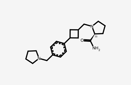 NC(=O)[C@@H]1CCCN1CC1CC(c2ccc(CN3CCCC3)cc2)C1